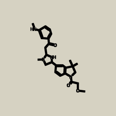 CNc1cccc(C(=O)CC2NC(c3ccc4c(c3)C(C)(C)CN4C(=O)COC)CB2C)c1